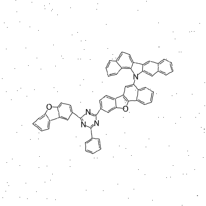 c1ccc(-c2nc(-c3ccc4c(c3)oc3c5ccccc5c(-n5c6cc7ccccc7cc6c6ccc7ccccc7c65)cc43)nc(-c3ccc4oc5ccccc5c4c3)n2)cc1